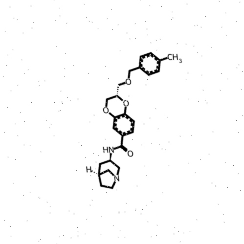 Cc1ccc(COC[C@H]2COc3cc(C(=O)N[C@@H]4C[C@@H]5CCN(C5)C4)ccc3O2)cc1